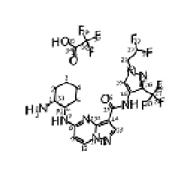 N[C@H]1CCCC[C@H]1Nc1ccn2ncc(C(=O)Nc3cn(CC(F)F)nc3C(F)(F)F)c2n1.O=C(O)C(F)(F)F